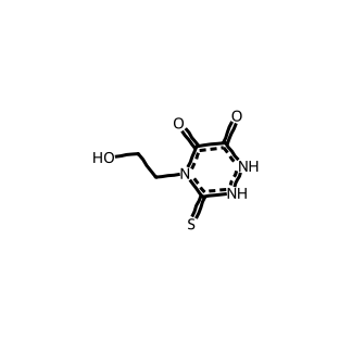 O=c1[nH][nH]c(=S)n(CCO)c1=O